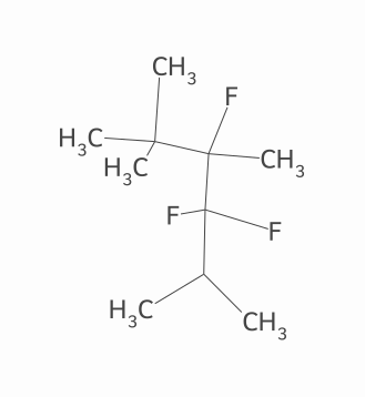 CC(C)C(F)(F)C(C)(F)C(C)(C)C